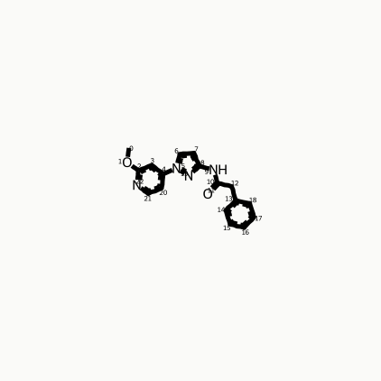 COc1cc(-n2ccc(NC(=O)Cc3ccccc3)n2)ccn1